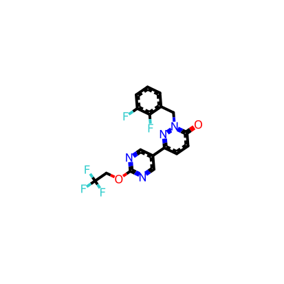 O=c1ccc(-c2cnc(OCC(F)(F)F)nc2)nn1Cc1cccc(F)c1F